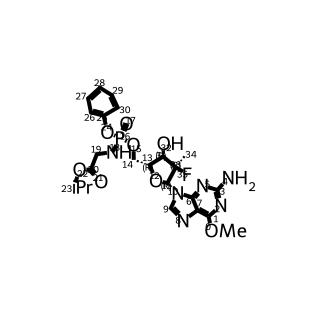 COc1nc(N)nc2c1ncn2[C@@H]1O[C@H](COP(=O)(NCC(=O)OC(C)C)Oc2ccccc2)[C@@H](O)[C@@]1(C)F